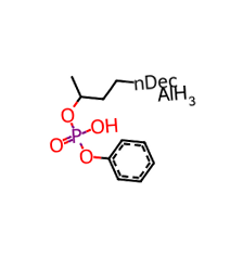 CCCCCCCCCCCCC(C)OP(=O)(O)Oc1ccccc1.[AlH3]